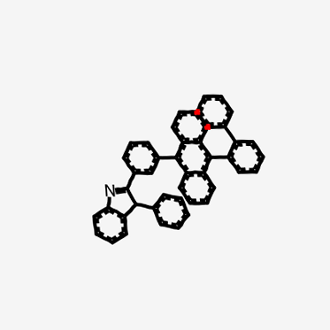 c1ccc(-c2ccccc2-c2c3ccccc3c(-c3cccc(C4=Nc5ccccc5C4c4ccccc4)c3)c3ccccc23)cc1